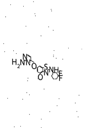 COc1cc(OCc2ccnc(N)n2)cc2sc(N[C@@H]3CCCC(F)(F)C3)nc12